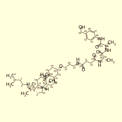 CC(C)CCC[C@@H](C)[C@H]1CC[C@@H]2[C@]1(C)CC[C@H]1[C@@]2(C)CC=C2C[C@@H](OCCCNC(=O)CCC(=O)N[C@@H](C)C(=O)N[C@@H](C)C(=O)Nc3ccc(CO)cc3)CC[C@@]21C